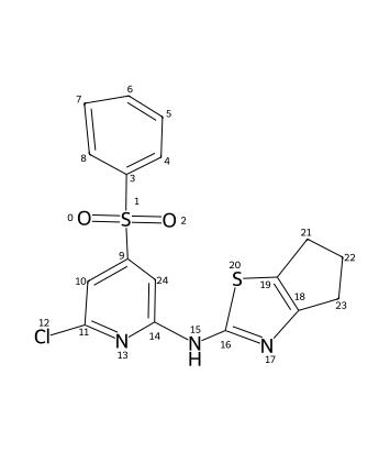 O=S(=O)(c1ccccc1)c1cc(Cl)nc(Nc2nc3c(s2)CCC3)c1